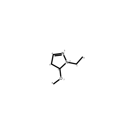 CCN1N=CCC1OC